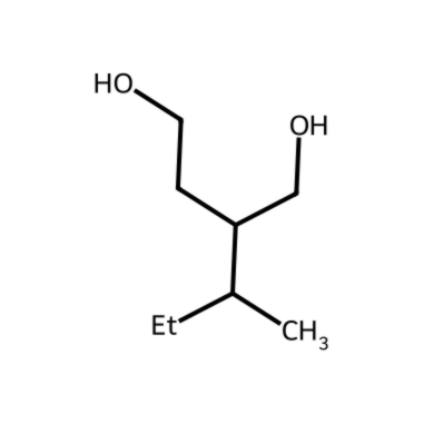 CCC(C)C(CO)CCO